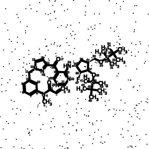 C=CC(=O)N(C)c1cccc(Cn2ccc(C(=O)c3cncnc3N[C@@H]3C[C@H](CO[Si](C)(C)C(C)(C)C)[C@@H](O[Si](C)(C)C(C)(C)C)[C@@H]3F)n2)c1